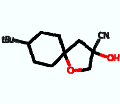 CC(C)(C)C1CCC2(CC1)CC(O)(C#N)CO2